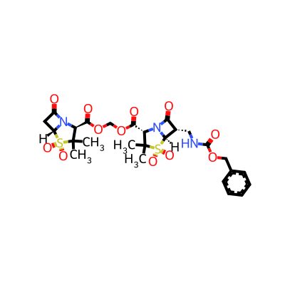 CC1(C)[C@H](C(=O)OCOC(=O)[C@@H]2N3C(=O)[C@H](CNC(=O)OCc4ccccc4)[C@H]3S(=O)(=O)C2(C)C)N2C(=O)C[C@H]2S1(=O)=O